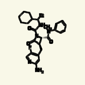 CCC(NC(=O)N1C(=O)[C@H](Cc2cc(N)ncc2F)[C@H]1C(=O)N(C)c1ccccc1)C1CCCCC1